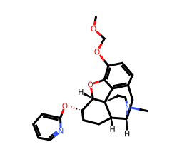 COCOc1ccc2c3c1O[C@H]1[C@@H](Oc4ccccn4)CC[C@H]4[C@@H](C2)N(C)CC[C@@]341